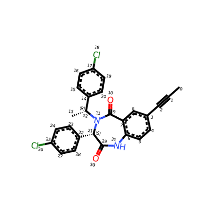 CC#Cc1ccc2c(c1)C(=O)N([C@H](C)c1ccc(Cl)cc1)[C@@H](c1ccc(Cl)cc1)C(=O)N2